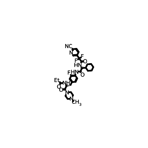 CCC(=O)N[C@H](Cc1ccc(NC(=O)[C@@H](NC(=O)C(F)(F)c2ccc(C#N)nc2)C2CCCCC2)c(F)c1)C(=O)N1CCN(C)CC1